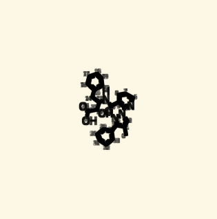 Cc1cn(-c2ncccc2C(=O)NC(Cc2ccccc2)C(O)C(=O)O)nc1-c1ccccc1